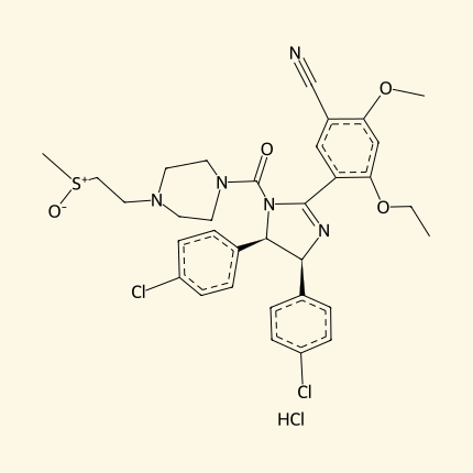 CCOc1cc(OC)c(C#N)cc1C1=N[C@@H](c2ccc(Cl)cc2)[C@@H](c2ccc(Cl)cc2)N1C(=O)N1CCN(CC[S+](C)[O-])CC1.Cl